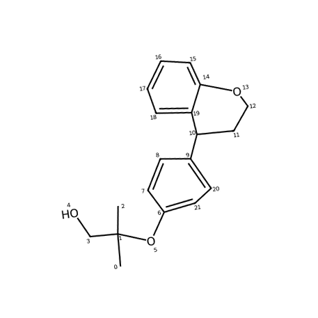 CC(C)(CO)Oc1ccc(C2CCOc3ccccc32)cc1